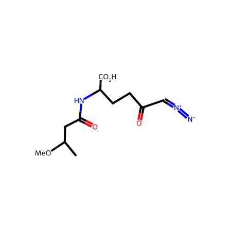 COC(C)CC(=O)NC(CCC(=O)C=[N+]=[N-])C(=O)O